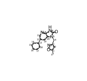 Cc1cc(Cn2c(=O)[nH]c3ncc(-c4ccccc4)cc32)no1